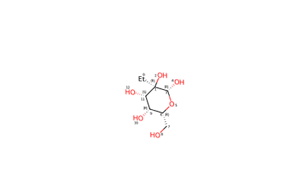 CC[C@]1(O)[C@H](O)O[C@H](CO)[C@H](O)[C@@H]1O